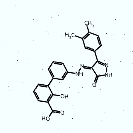 Cc1ccc(C2=NNC(=O)C2=NNc2cccc(-c3cccc(C(=O)O)c3O)c2)cc1C